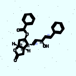 O=C1C[C@@H]2[C@@H](/C=C/[C@@H](O)/C=C/c3ccccc3)[C@H](OC(=O)c3ccccc3)C[C@@H]2O1